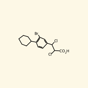 O=C(O)C(Cl)C(Cl)c1ccc(C2CCCCC2)c(Br)c1